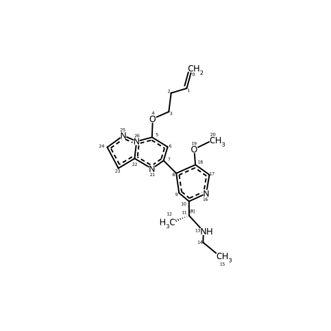 C=CCCOc1cc(-c2cc([C@@H](C)NCC)ncc2OC)nc2ccnn12